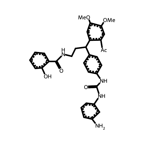 COc1cc(C(C)=O)c(C(CCNC(=O)c2ccccc2O)c2ccc(NC(=O)Nc3cccc(N)c3)cc2)cc1OC